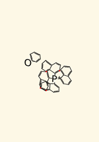 [O-]c1ccccc1.c1ccc2c([P+](c3cccc4ccccc34)(c3cccc4ccccc34)c3cccc4ccccc34)cccc2c1